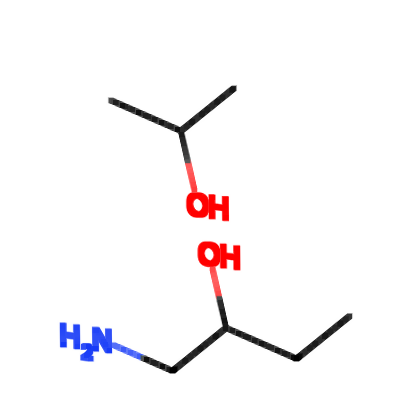 CC(C)O.CCC(O)CN